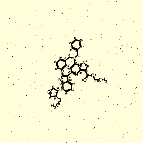 CCOC(=O)c1cnn2c(N(Cc3ccccc3)Cc3ccccc3)cc(-c3cnc4n([C@H]5COC[C@@H]5OC)cccc3-4)nc12